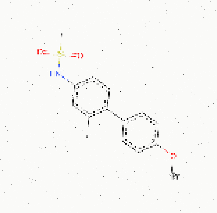 Cc1cc(NS(C)(=O)=O)ccc1-c1ccc(OC(C)C)cc1